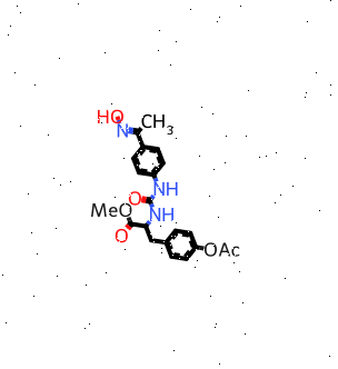 COC(=O)C(Cc1ccc(OC(C)=O)cc1)NC(=O)Nc1ccc(C(C)=NO)cc1